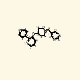 c1cnc(-c2ccncc2)c(OC2CCN(Cc3cncnc3)CC2)c1